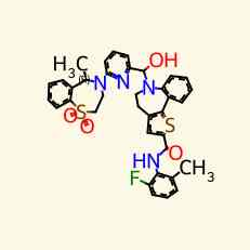 Cc1cccc(F)c1NC(=O)c1cc2c(s1)-c1ccccc1N(C(O)c1cccc(N3CCS(=O)(=O)c4ccccc4[C@H]3C)n1)CC2